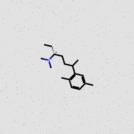 CC[C@H](CCC(C)c1cc(C)ccc1C)N(C)C